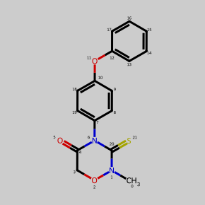 CN1OCC(=O)N(c2ccc(Oc3ccccc3)cc2)C1=S